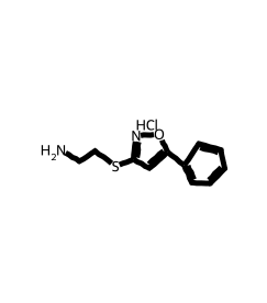 Cl.NCCSc1cc(-c2ccccc2)on1